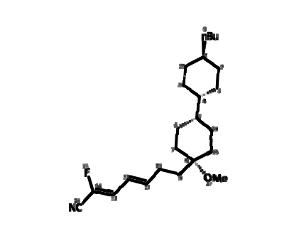 CCCC[C@H]1CC[C@H]([C@H]2CC[C@@](CCC=CC=C(F)C#N)(OC)CC2)CC1